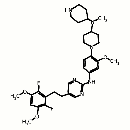 COc1cc(Nc2ncc(CCc3c(F)c(OC)cc(OC)c3F)cn2)ccc1N1CCC(N(C)C2CCNCC2)CC1